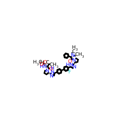 CCN(CC)[C@@H](C(=O)N1CCC[C@H]1c1ncc(-c2ccc(-c3ccc(-c4cnc([C@@H]5CCCN5C(=O)[C@@H](NC(=O)OC)C(C)C)[nH]4)cc3)cc2F)[nH]1)c1ccccc1